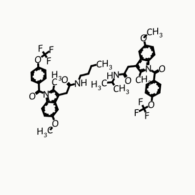 CCCCNC(=O)Cc1c(C)n(C(=O)c2ccc(OC(F)(F)F)cc2)c2ccc(OC)cc12.COc1ccc2c(c1)c(CC(=O)NC(C)C)c(C)n2C(=O)c1ccc(OC(F)(F)F)cc1